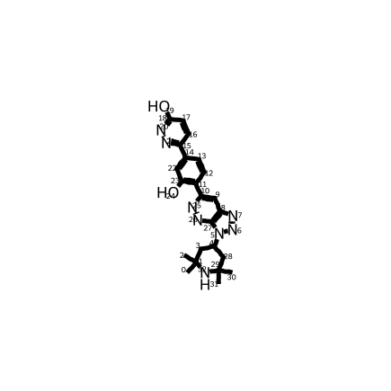 CC1(C)CC(n2nnc3cc(-c4ccc(-c5ccc(O)nn5)cc4O)nnc32)CC(C)(C)N1